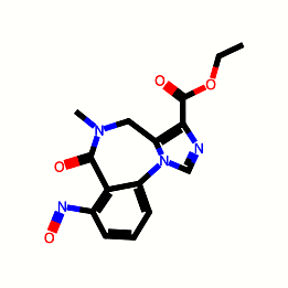 CCOC(=O)c1ncn2c1CN(C)C(=O)c1c(N=O)cccc1-2